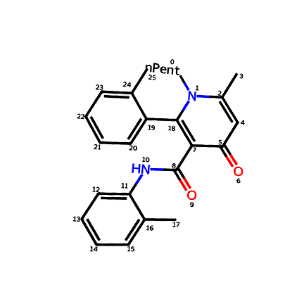 CCCCCn1c(C)cc(=O)c(C(=O)Nc2ccccc2C)c1-c1ccccc1C